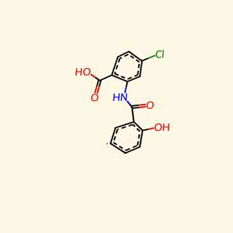 O=C(Nc1cc(Cl)ccc1C(=O)O)c1c[c]ccc1O